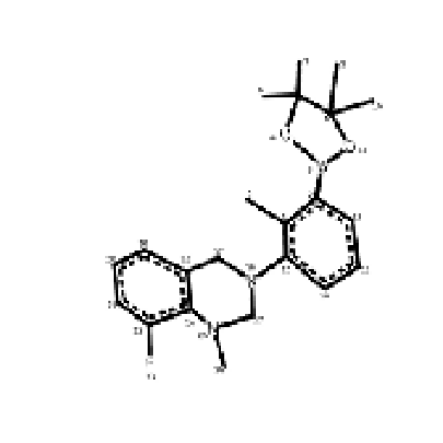 Cc1c(B2OC(C)(C)C(C)(C)O2)cccc1N1Cc2cccc(F)c2N(C)C1